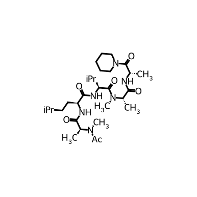 CC(=O)N(C)[C@@H](C)C(=O)N[C@@H](CCC(C)C)C(=O)N[C@H](C(=O)N(C)[C@@H](C)C(=O)N[C@@H](C)C(=O)N1CCCCC1)C(C)C